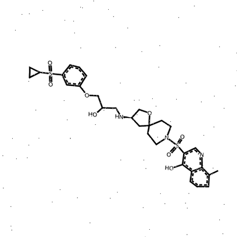 Cc1cccc2c(O)c(S(=O)(=O)N3CCC4(CC3)C[C@@H](NCC(O)COc3cccc(S(=O)(=O)C5CC5)c3)CO4)cnc12